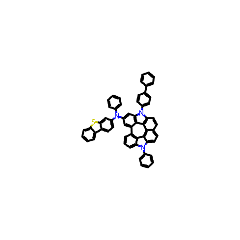 c1ccc(-c2ccc(-n3c4cc(N(c5ccccc5)c5ccc6c(c5)sc5ccccc56)cc5c4c4c6c(ccc7c6c6c-5cccc6n7-c5ccccc5)ccc43)cc2)cc1